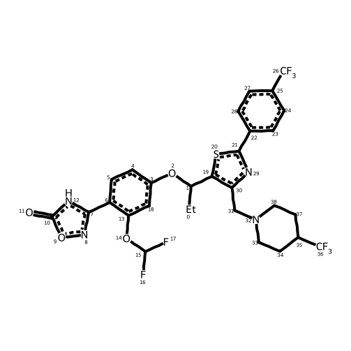 CCC(Oc1ccc(-c2noc(=O)[nH]2)c(OC(F)F)c1)c1sc(-c2ccc(C(F)(F)F)cc2)nc1CN1CCC(C(F)(F)F)CC1